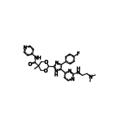 CN(C)CCNc1nccc(-c2[nH]c(C3OCC(C)(C(=O)Nc4ccncc4)CO3)nc2-c2ccc(F)cc2)n1